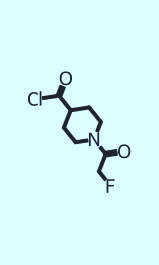 O=C(Cl)C1CCN(C(=O)CF)CC1